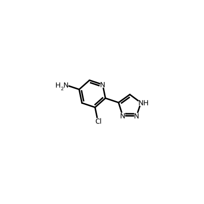 Nc1cnc(-c2c[nH]nn2)c(Cl)c1